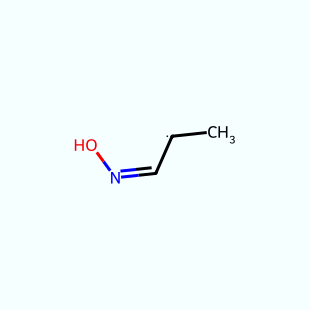 C[CH]/C=N\O